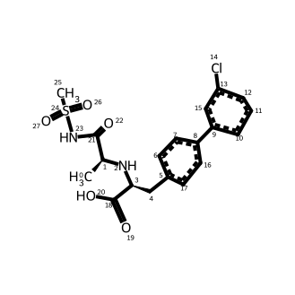 C[C@H](N[C@@H](Cc1ccc(-c2cccc(Cl)c2)cc1)C(=O)O)C(=O)NS(C)(=O)=O